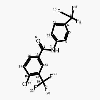 O=C(Nc1ccc(C(F)(F)F)cc1)c1ccc(Cl)c(C(F)(F)F)c1